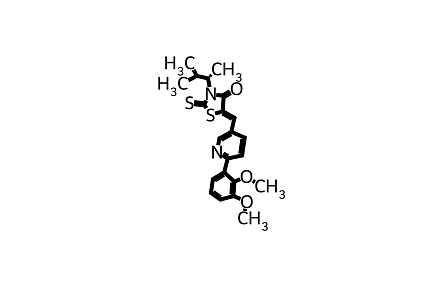 COc1cccc(-c2ccc(/C=C3\SC(=S)N([C@H](C)C(C)C)C3=O)cn2)c1OC